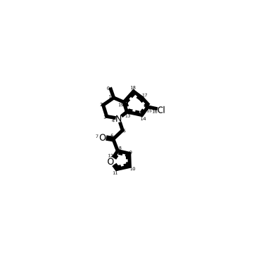 CC1CCN(CC(=O)c2ccco2)c2cc(Cl)ccc21